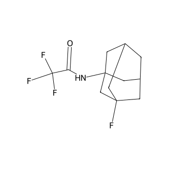 O=C(NC12CC3CC(CC(F)(C3)C1)C2)C(F)(F)F